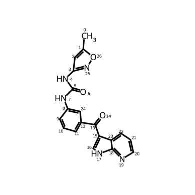 Cc1cc(NC(=O)Nc2cccc(C(=O)c3c[nH]c4ncccc34)c2)no1